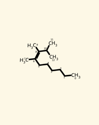 CCCCCCC(C)=C(C)C(C)C